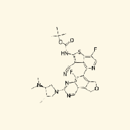 C[C@H]1CN(c2ncc3c4c(c(-c5ncc(F)c6sc(NC(=O)OC(C)(C)C)c(C#N)c56)c(F)c3n2)COC4)C[C@@H]1N(C)C